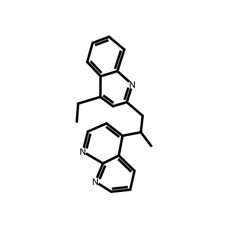 CCc1cc(CC(C)c2ccnc3ncccc23)nc2ccccc12